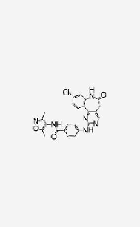 Cc1noc(C)c1NC(=O)c1ccc(Nc2ncc3c(n2)-c2ccc(Cl)cc2NC(=O)C3)cc1